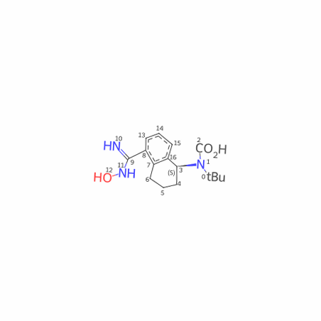 CC(C)(C)N(C(=O)O)[C@H]1CCCc2c(C(=N)NO)cccc21